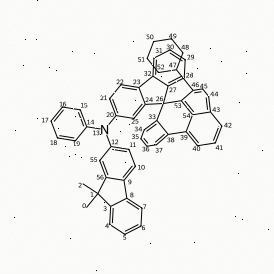 CC1(C)c2ccccc2-c2ccc(N(c3ccccc3)c3ccc4c(c3)C3(c5ccccc5-4)c4ccccc4-c4cccc5ccc(C6CCCCC6)c3c45)cc21